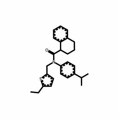 CCc1ccc(CN(C(=O)C2CCCc3ccccc32)c2ccc(C(C)C)cc2)s1